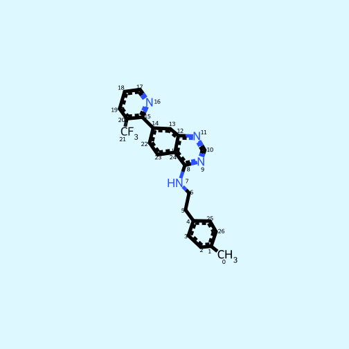 Cc1ccc(CCNc2ncnc3cc(-c4ncccc4C(F)(F)F)ccc23)cc1